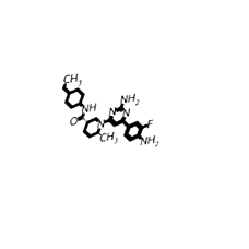 CCC1CCC(NC(=O)[C@H]2CC[C@@H](C)N(c3cc(-c4ccc(N)c(F)c4)nc(N)n3)C2)CC1